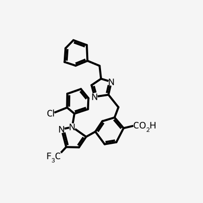 O=C(O)c1ccc(-c2cc(C(F)(F)F)nn2-c2ccccc2Cl)cc1CC1=NC(Cc2ccccc2)C=N1